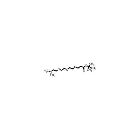 CN(C)CCOCCOCCOCCC(=O)OC(C)(C)C